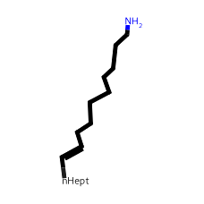 CCCCCCCC=CCCCCCCCCN